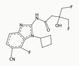 N#Cc1ccc2nc(NC(=O)CC(O)(CF)CF)n(C3CCC3)c2c1F